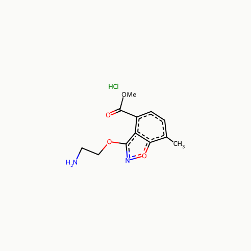 COC(=O)c1ccc(C)c2onc(OCCN)c12.Cl